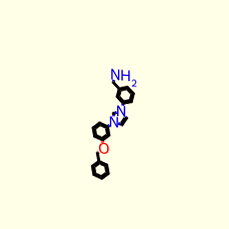 NCc1cccc(N2C=CN(c3cccc(OCc4ccccc4)c3)C2)c1